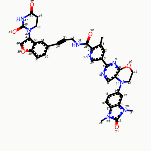 Cc1cc(-c2ncc3c(n2)OCCN3c2ccc3c(c2)n(C)c(=O)n3C)cnc1C(=O)NCC#Cc1ccc2occ(N3CCC(=O)NC3=O)c2c1